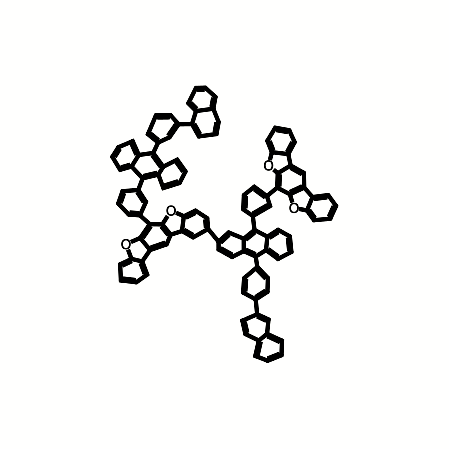 c1cc(-c2cccc3ccccc23)cc(-c2c3ccccc3c(-c3cccc(-c4c5oc6ccccc6c5cc5c4oc4ccc(-c6ccc7c(-c8ccc(-c9ccc%10ccccc%10c9)cc8)c8ccccc8c(-c8cccc(-c9c%10oc%11ccccc%11c%10cc%10c9oc9ccccc9%10)c8)c7c6)cc45)c3)c3ccccc23)c1